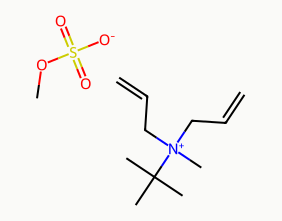 C=CC[N+](C)(CC=C)C(C)(C)C.COS(=O)(=O)[O-]